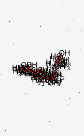 C#CCOCC(O)CO.C=C(C)COC(C)(O)CO.C=C(O)C(C)(O)C(C)OC(O)CCO.C=CC(Cl)SCC(O)CO.C=CCOCC(O)CO.CC(=O)OC(SCC(O)CO)C(O)CCO.CC(O)C(C)(C)O.CC(O)C(C)(O)COC(O)CCO.CCC(C)(O)CO.CCC(O)(C(C)O)C(C)(C)OC(O)CCO.O=[N+]([O-])C(O)CCO